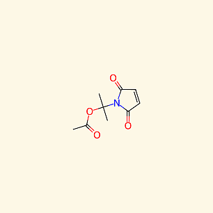 CC(=O)OC(C)(C)N1C(=O)C=CC1=O